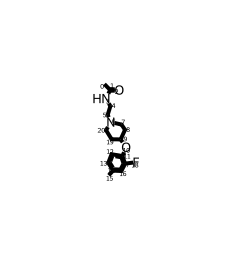 CC(=O)NCCN1CCC(Oc2ccc(C)cc2F)CC1